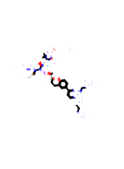 CC(O/N=C(\C(=O)NC1C(=O)N(OS(=O)(=O)O)C1(C)C)c1csc(N)n1)(C(=O)O)[C@H]1CCc2cc(-c3ccc(NCCCN)[n+](CCCN)c3)ccc2O1